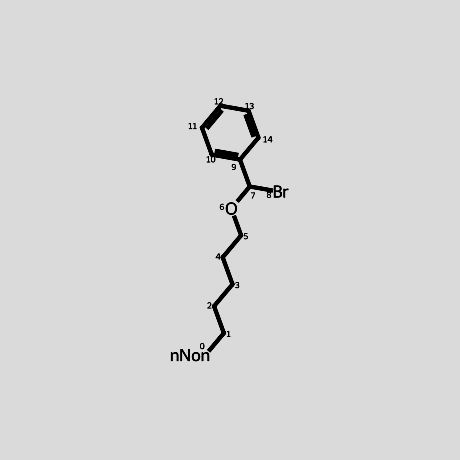 CCCCCCCCCCCCCCOC(Br)c1ccccc1